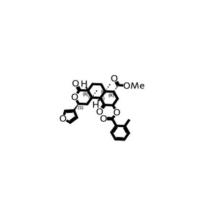 COC(=O)[C@@H]1CC(OC(=O)c2ccccc2C)C(=O)[C@H]2[C@@]1(C)CC[C@H]1C(=O)O[C@H](c3ccoc3)C[C@]21C